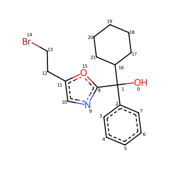 OC(c1ccccc1)(c1ncc(CCBr)o1)C1CCCCC1